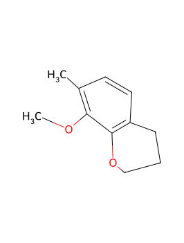 COc1c(C)ccc2c1OCCC2